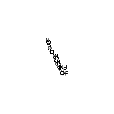 Fc1cccc(-c2nc3c([nH]2)C=NN(Cc2cc(-c4ccc(OCc5ccncc5)cc4)no2)C3)c1F